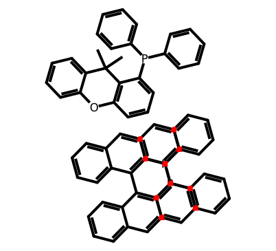 CC1(C)c2ccccc2Oc2cccc(P(c3ccccc3)c3ccccc3)c21.c1ccc(P(c2ccccc2)c2ccc3ccccc3c2-c2c(P(c3ccccc3)c3ccccc3)ccc3ccccc23)cc1